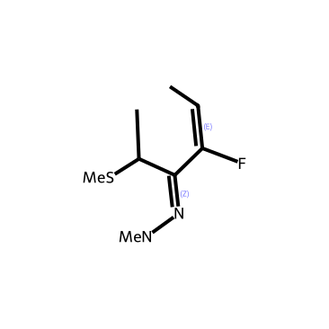 C/C=C(F)\C(=N\NC)C(C)SC